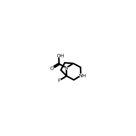 O=C(O)N1C2CCC1(F)CNC2